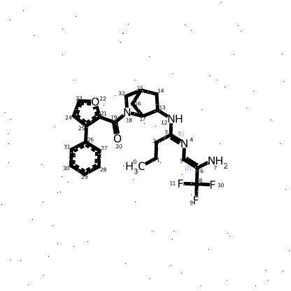 CCC/C(=N\C=C(/N)C(F)(F)F)NC1CC2CC1N(C(=O)c1occc1-c1ccccc1)C2